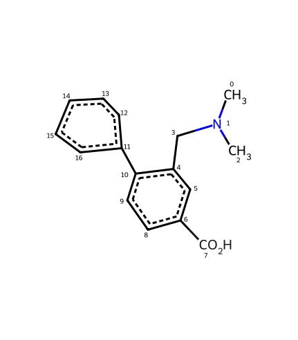 CN(C)Cc1cc(C(=O)O)ccc1-c1ccccc1